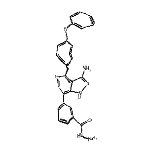 NNC(=O)c1cccc(-c2cnc(-c3ccc(Oc4ccccc4)cc3)c3c(N)n[nH]c23)c1